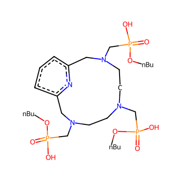 CCCCOP(=O)(O)CN1CCN(CP(=O)(O)OCCCC)Cc2cccc(n2)CN(CP(=O)(O)OCCCC)CC1